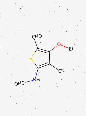 CCOc1c(C=O)sc(NC=O)c1C#N